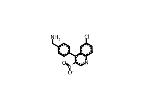 NCc1ccc(-c2c([N+](=O)[O-])cnc3ccc(Cl)cc23)cc1